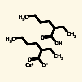 CCCCC(CC)C(=O)O.CCCCC(CC)C(=O)[O-].[Cs+]